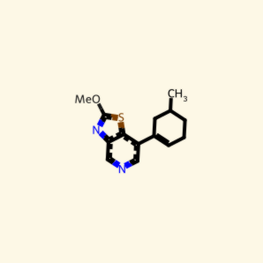 COc1nc2cncc(C3=CCCC(C)C3)c2s1